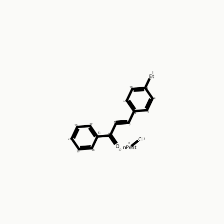 CCCCCCl.CCc1ccc(C=CC(=O)c2ccccc2)cc1